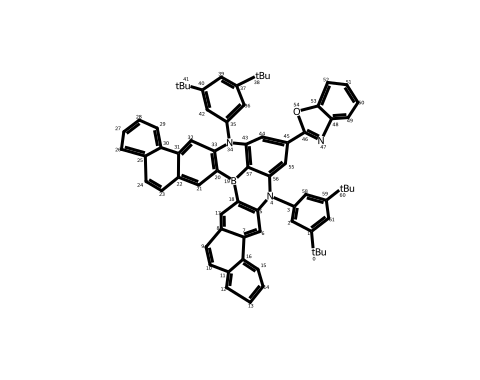 CC(C)(C)c1cc(N2c3cc4c(ccc5ccccc54)cc3B3c4cc5ccc6ccccc6c5cc4N(c4cc(C(C)(C)C)cc(C(C)(C)C)c4)c4cc(-c5nc6ccccc6o5)cc2c43)cc(C(C)(C)C)c1